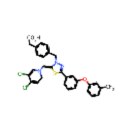 O=C(O)Cc1ccc(CN2N=C(c3cccc(Oc4cccc(C(F)(F)F)c4)c3)SC2=CN2C=C(Cl)C(Cl)=CC2)cc1